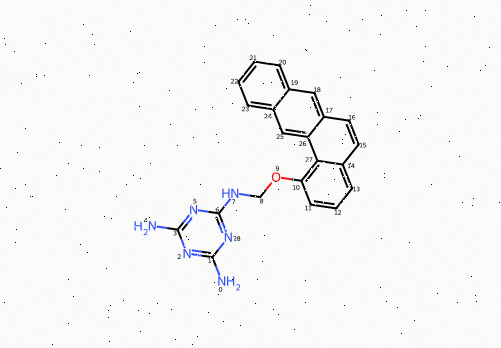 Nc1nc(N)nc(NCOc2cccc3ccc4cc5ccccc5cc4c23)n1